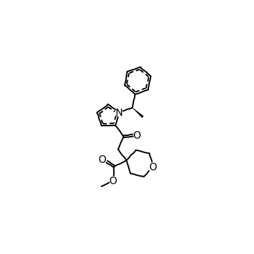 COC(=O)C1(CC(=O)c2cccn2[C@H](C)c2ccccc2)CCOCC1